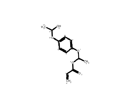 C=CC(=O)OC(C)Oc1ccc(OC(C)O)cc1